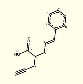 C#CCC(CC=Cc1ccccc1)C(=O)O